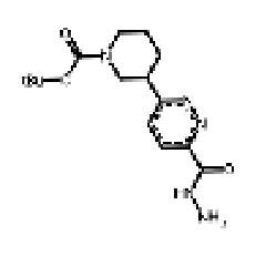 CC(C)(C)OC(=O)N1CCCC(c2ccc(C(=O)NN)nn2)C1